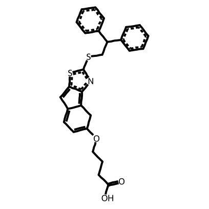 O=C(O)CCCOC1=CC=C2C=c3sc(SCC(c4ccccc4)c4ccccc4)nc3=C2C1